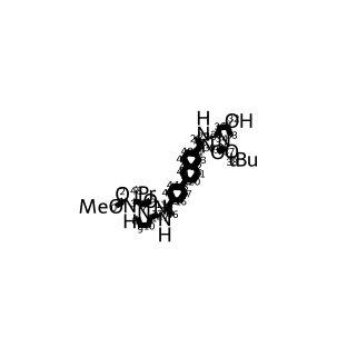 COC(=O)NC(C(=O)N1CCCC1c1nc(-c2ccc(-c3ccc4cc(-c5c[nH]c([C@@H]6C[C@H](O)CN6C(=O)OC(C)(C)C)n5)ccc4c3)cc2)c[nH]1)C(C)C